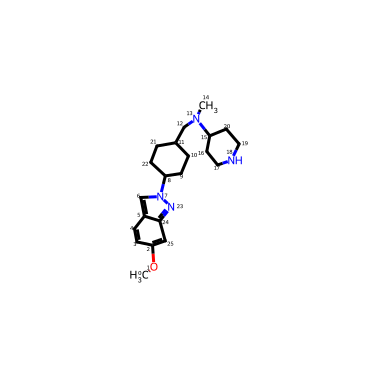 COc1ccc2cn(C3CCC(CN(C)C4CCNCC4)CC3)nc2c1